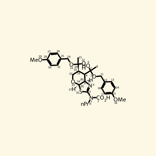 CCCN(C(=O)O)C1=N[C@@H]2C(C(C)(O)OCc3ccc(OC)cc3)[C@H](C(C)(O)OCc3ccc(OC)cc3)CO[C@@H]2S1